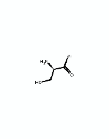 CC(C)C(=O)[C@H](N)CO